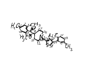 Cc1cc(C)c(S(=O)(=O)C2CCN(c3nc(-c4cc(C)ccc4C)cs3)CC2)c(C)c1